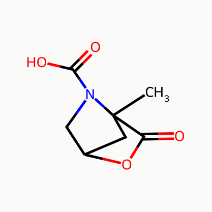 CC12CC(CN1C(=O)O)OC2=O